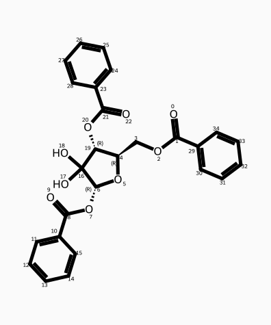 O=C(OC[C@H]1O[C@H](OC(=O)c2ccccc2)C(O)(O)[C@@H]1OC(=O)c1ccccc1)c1ccccc1